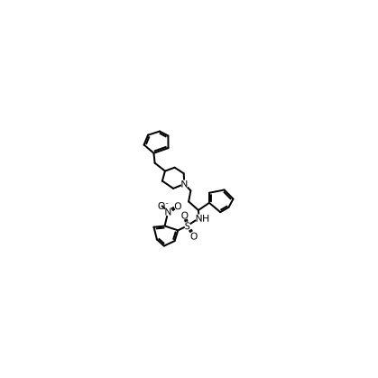 O=[N+]([O-])c1ccccc1S(=O)(=O)NC(CCN1CCC(Cc2ccccc2)CC1)c1ccccc1